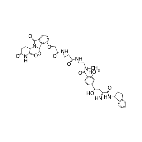 CN(CCNC(=O)CCNC(=O)COc1cccc2c1C(=O)N(C1CCC(=O)NC1=O)C2=O)C(=O)c1ccc(/C(O)=C/C(=N)C(=O)N[C@@H]2CCc3ccccc32)cc1O